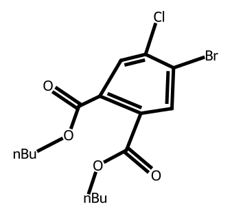 CCCCOC(=O)c1cc(Cl)c(Br)cc1C(=O)OCCCC